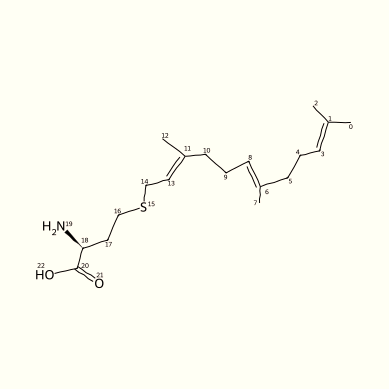 CC(C)=CCCC(C)=CCCC(C)=CCSCC[C@H](N)C(=O)O